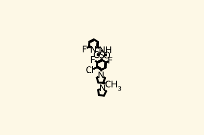 CC1(N2CCCC2)CCN(c2cc(F)c(S(=O)(=O)Nc3cccc(F)n3)c(F)c2Cl)C1